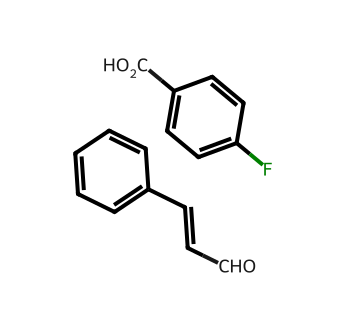 O=C(O)c1ccc(F)cc1.O=CC=Cc1ccccc1